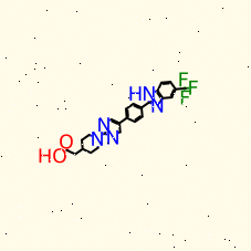 O=C(O)CC1CCN(c2ncc(-c3ccc(-c4nc5cc(C(F)(F)F)ccc5[nH]4)cc3)cn2)CC1